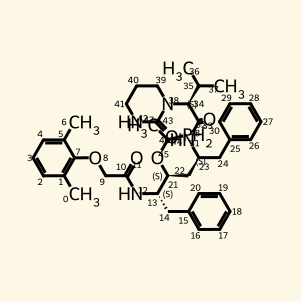 Cc1cccc(C)c1OCC(=O)N[C@@H](Cc1ccccc1)[C@H](C[C@H](Cc1ccccc1)NC(=O)[C@H](C(C)C)N1CCCNC1=O)OC(C)P